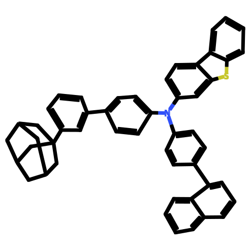 c1cc(-c2ccc(N(c3ccc(-c4cccc5ccccc45)cc3)c3ccc4c(c3)sc3ccccc34)cc2)cc(C23CC4CC(CC(C4)C2)C3)c1